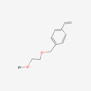 C=Cc1ccc(COCCOC(C)C)cc1